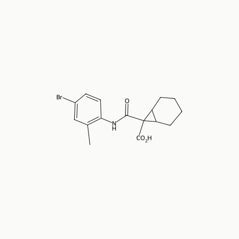 Cc1cc(Br)ccc1NC(=O)C1(C(=O)O)C2CCCCC21